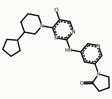 O=C1CCCN1c1cncc(Nc2ncc(Cl)c(N3CCCC(C4CCCC4)C3)n2)c1